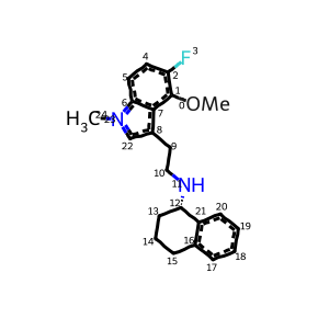 COc1c(F)ccc2c1c(CCN[C@H]1CCCc3ccccc31)cn2C